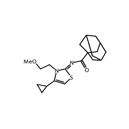 COCCn1c(C2CC2)cs/c1=N\C(=O)C12CC3CC(CC(C3)C1)C2